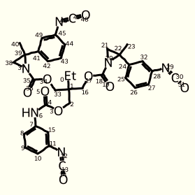 CCC(COC(=O)Nc1cccc(N=C=O)c1)(COC(=O)N1CC1(C)c1cccc(N=C=O)c1)COC(=O)N1CC1(C)c1cccc(N=C=O)c1